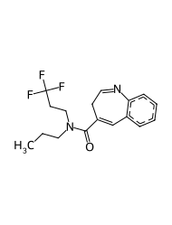 CCCN(CCC(F)(F)F)C(=O)C1=Cc2ccccc2N=CC1